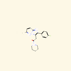 Cc1ccc2nc(-c3ccc(F)cc3)c(CC(=O)N3CCCCC3)n2n1